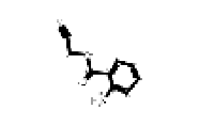 N#CCOC(=O)c1ccccc1N